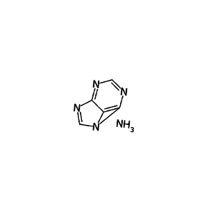 N.c1nc2c3c(n1)ncn3-2